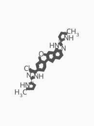 C[C@H]1CC[C@@H](c2nc(Cl)c(-c3ccc4c(c3)COc3cc5c(ccc6nc([C@@H]7CC[C@H](C)N7)[nH]c65)cc3-4)[nH]2)N1